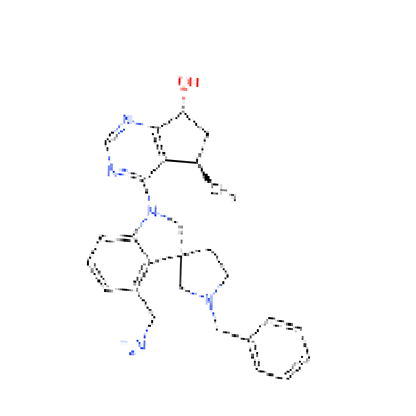 C[C@@H]1C[C@@H](O)c2ncnc(N3C[C@@]4(CCN(Cc5ccccc5)C4)c4c(CN)cccc43)c21